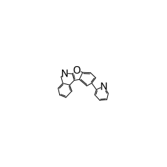 c1ccc(-c2ccc3oc4ncc5ccccc5c4c3c2)nc1